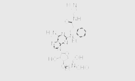 CCN(C=O)C(O)[C@H]1O[C@@H](n2cnc3c(N)nc([N+](CC)(CCC(=O)NCCN)c4ccccc4)nc32)[C@H](O)[C@@H]1O